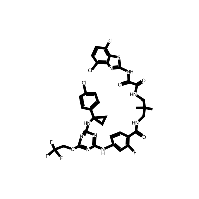 CC(C)(CNC(=O)C(=O)Nc1nc2c(Cl)ccc(Cl)c2s1)CNC(=O)c1ccc(Nc2nc(NC3(c4ccc(Cl)cc4)CC3)nc(OCC(F)(F)F)n2)cc1F